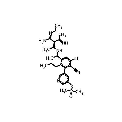 CCCc1c(C(C)N/C(C)=C(C(C)=N)/C(N)=N\CC)cc(Cl)c(C#N)c1-c1cncc(SP(C)(C)=O)c1